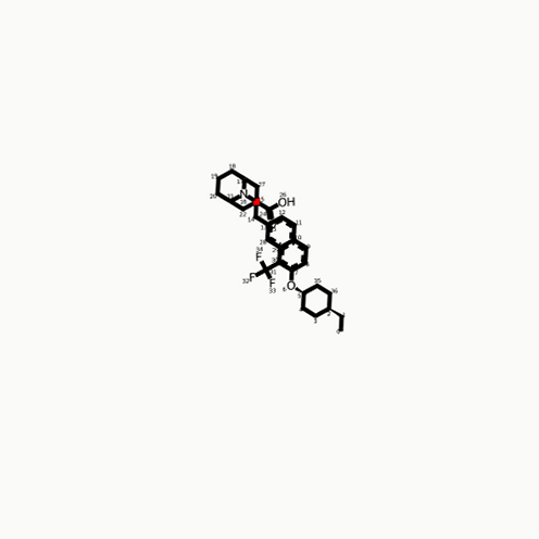 CC[C@H]1CC[C@@H](Oc2ccc3ccc(CCN4C5CCCC4CC(C(=O)O)C5)cc3c2C(F)(F)F)CC1